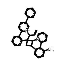 C=CC1[n+]2cc(-c3ccccc3)ccc2-c2ccccc2C12CC1c3cccc(C(F)(F)F)c3-c3cccc[n+]3C12